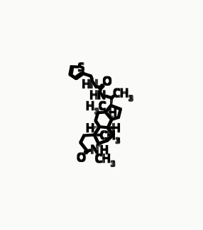 CC(NC(=O)NCc1cccs1)[C@H]1CC[C@H]2[C@@H]3CC[C@H]4N(C)C(=O)CC[C@]4(C)[C@H]3CC[C@]12C